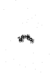 CC(Nc1nccc(N2C(=O)OC[C@@H]2C(C)C)n1)c1ncn2c1CCc1cc(C(F)(F)F)ccc1-2